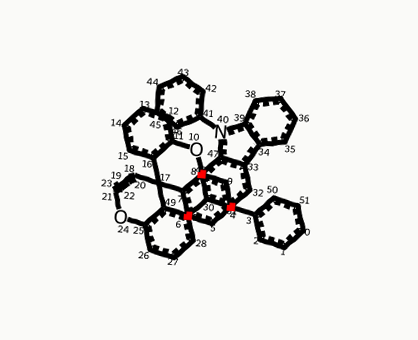 c1ccc(-c2ccc3c(c2)Oc2ccccc2C32c3ccccc3Oc3cccc(-c4ccc5c6ccccc6n(-c6ccccc6)c5c4)c32)cc1